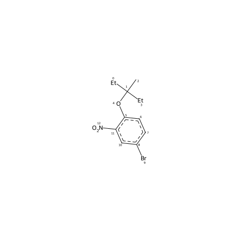 CCC(C)(CC)Oc1ccc(Br)cc1[N+](=O)[O-]